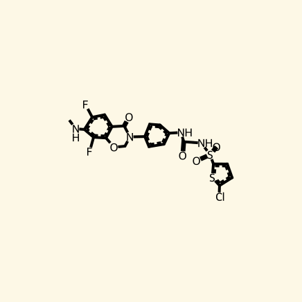 CNc1c(F)cc2c(c1F)OCN(c1ccc(NC(=O)NS(=O)(=O)c3ccc(Cl)s3)cc1)C2=O